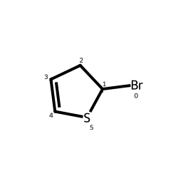 Br[C]1CC=CS1